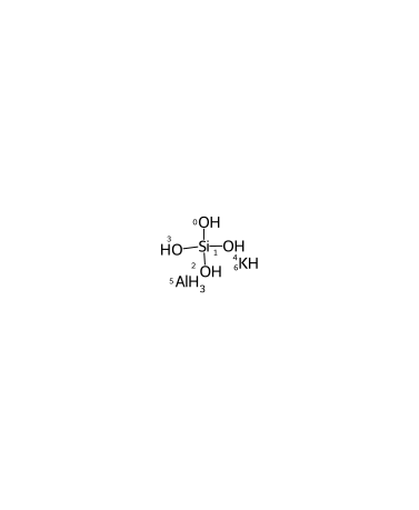 O[Si](O)(O)O.[AlH3].[KH]